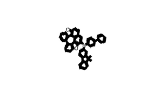 CC1(C)c2ccccc2-c2ccc(N(c3ccc(-c4ccccc4)cc3)c3cc4ccc5oc6cccc7c6c5c4c4c3oc3cccc-7c34)cc21